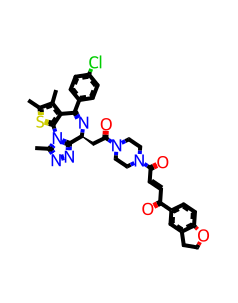 Cc1sc2c(c1C)C(c1ccc(Cl)cc1)=N[C@@H](CC(=O)N1CCN(C(=O)/C=C/C(=O)c3ccc4c(c3)CCO4)CC1)c1nnc(C)n1-2